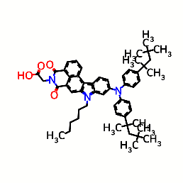 CCCCCCn1c2cc(N(c3ccc(C(C)(C)CC(C)(C)C)cc3)c3ccc(C(C)(C)CC(C)(C)C)cc3)ccc2c2c3cccc4c3c(cc21)C(=O)N(CC(=O)O)C4=O